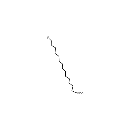 CCCCCCCCCCCCCCCCCCCCCC[CH]F